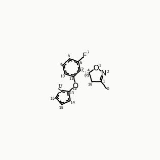 CC1=NO[C@@H](c2c(F)cccc2Oc2cccs2)C1